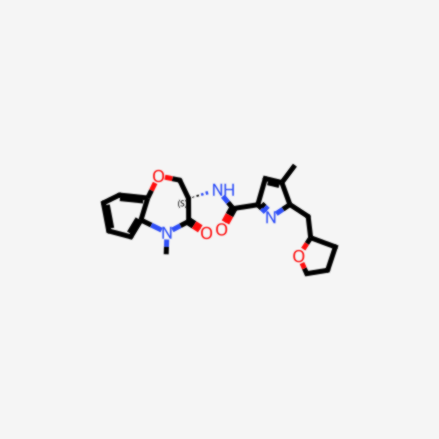 CC1=CC(C(=O)N[C@H]2COc3ccccc3N(C)C2=O)=NC1CC1CCCO1